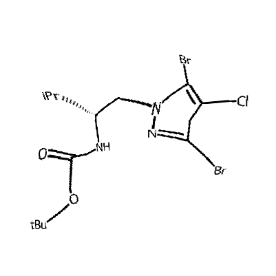 CC(C)[C@H](Cn1nc(Br)c(Cl)c1Br)NC(=O)OC(C)(C)C